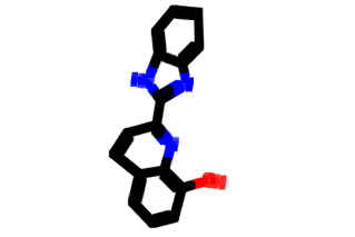 Oc1cccc2ccc(-c3nc4ccccc4[nH]3)nc12